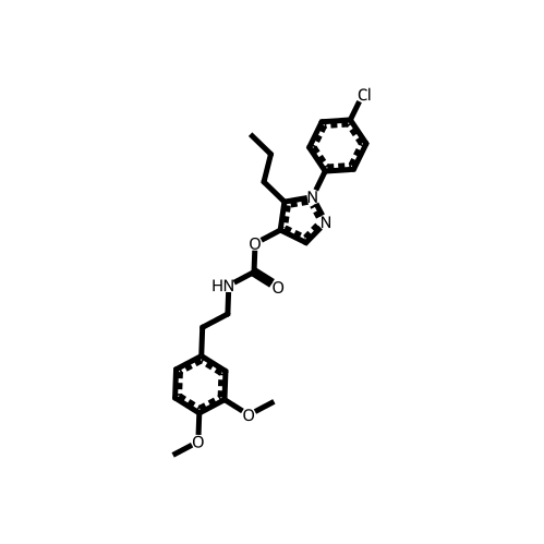 CCCc1c(OC(=O)NCCc2ccc(OC)c(OC)c2)cnn1-c1ccc(Cl)cc1